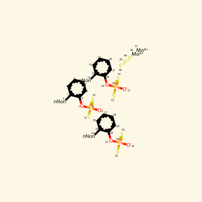 CCCCCCCCCc1ccccc1OP([O-])(=S)[S-].CCCCCCCCCc1ccccc1OP([O-])(=S)[S-].CCCCCCCCCc1ccccc1OP([O-])(=S)[S-].[Mo+6].[Mo+6].[S-2].[S-2].[S-2]